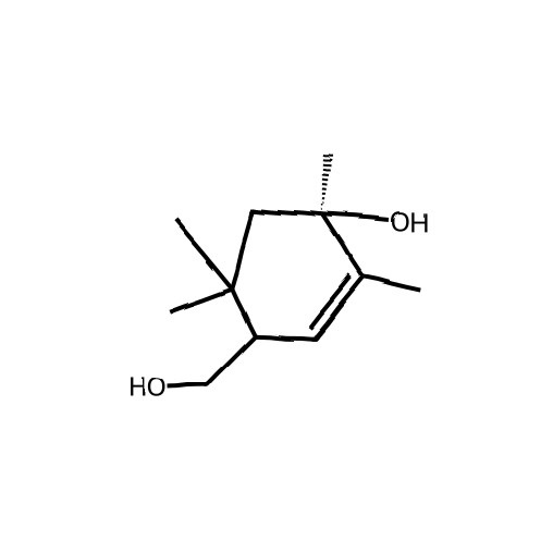 CC1=CC(CO)C(C)(C)C[C@@]1(C)O